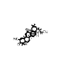 CC1(C)CC[C@]2(NS(C)(=O)=NC#N)CC[C@]3(C)[C@H](C(=O)C=C4[C@@]5(C)C=C(C#N)C(=O)C(C)(C)[C@@H]5CC[C@]43C)[C@@H]2C1